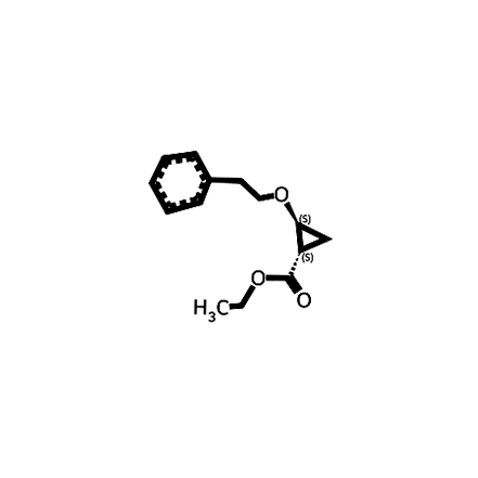 CCOC(=O)[C@H]1C[C@@H]1OCCc1ccccc1